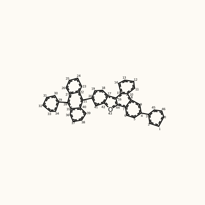 c1ccc(-c2ccc3c(c2)c2ccccc2c2c4ccc(-c5c6ccccc6c(-c6ccccc6)c6ccccc56)cc4oc32)cc1